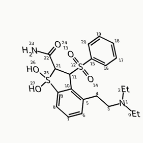 CCN(CC)CCc1cccc2c1C(S(=O)(=O)c1ccccc1)C(C(N)=O)S2(O)O